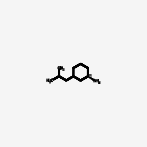 CC(C)CC1CCC[C@H](N)C1